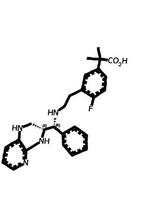 CC(C)(C(=O)O)c1ccc(F)c(CCN[C@H](c2ccccc2)[C@H]2CNc3cccnc3N2)c1